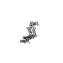 O.O.O.O.O.O.O.O.O.O=S(=O)(O)O.O=S(=O)(O)O.[MgH2].[MgH2]